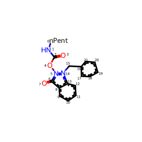 CCCCCNC(=O)On1c(=O)c2ccccc2n1Cc1ccccc1